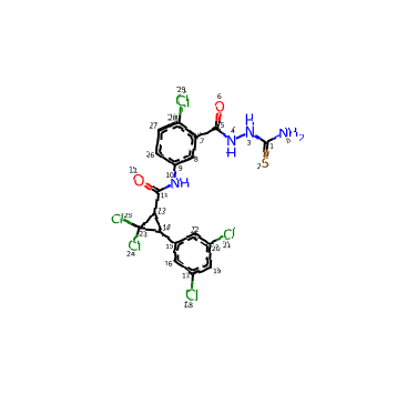 NC(=S)NNC(=O)c1cc(NC(=O)C2C(c3cc(Cl)cc(Cl)c3)C2(Cl)Cl)ccc1Cl